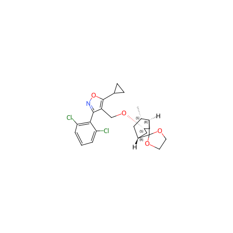 C[C@H]1C[C@@H]2C[C@H](OCc3c(-c4c(Cl)cccc4Cl)noc3C3CC3)C[C@H]1C21OCCO1